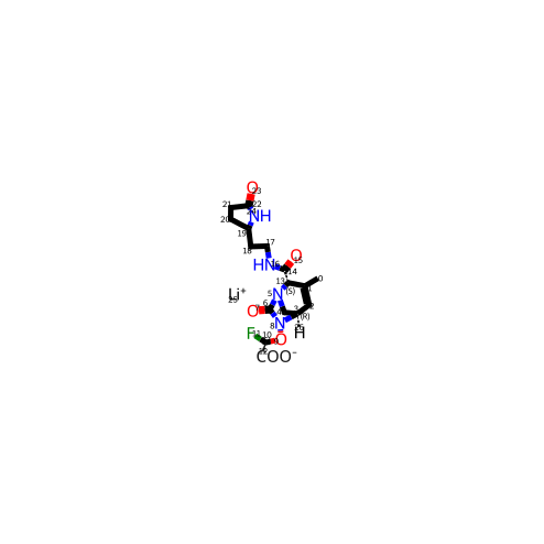 CC1=C[C@@H]2CN(C(=O)N2O[C@@H](F)C(=O)[O-])[C@@H]1C(=O)NCCC1CCC(=O)N1.[Li+]